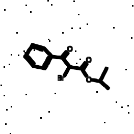 CC(C)OC(=O)C(Br)C(=O)c1ccccc1